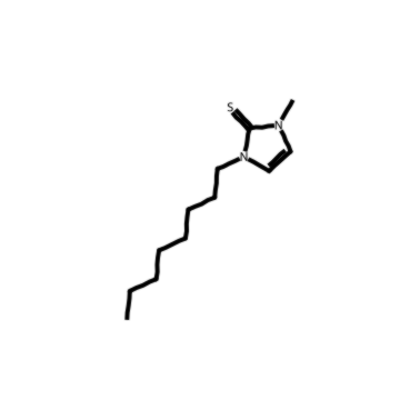 CCCCCCCCn1ccn(C)c1=S